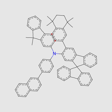 CC1(C)CCC(C)(C)c2cc(-c3cc4c(cc3N(c3ccc(-c5ccc6ccccc6c5)cc3)c3ccc5c(c3)C(C)(C)c3ccccc3-5)C3(c5ccccc5-c5ccccc53)c3ccccc3-4)ccc21